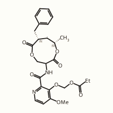 CCC(=O)OCOc1c(OC)ccnc1C(=O)NC1COC(=O)[C@H](Cc2ccccc2)[CH][C@H](C)OC1=O